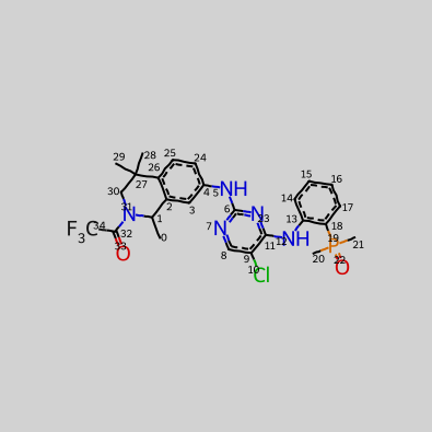 CC1c2cc(Nc3ncc(Cl)c(Nc4ccccc4P(C)(C)=O)n3)ccc2C(C)(C)CN1C(=O)C(F)(F)F